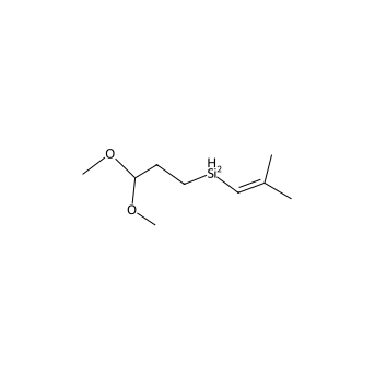 COC(CC[SiH2]C=C(C)C)OC